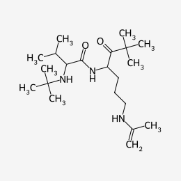 C=C(C)NCCCC(NC(=O)C(NC(C)(C)C)C(C)C)C(=O)C(C)(C)C